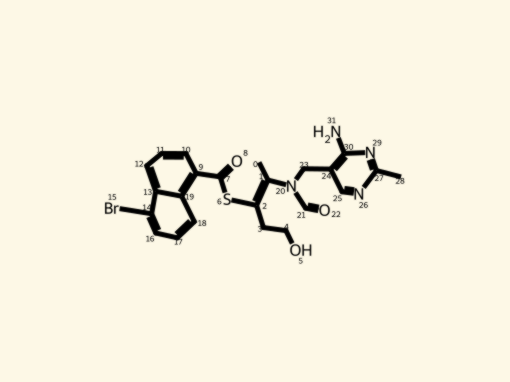 CC(=C(CCO)SC(=O)c1cccc2c(Br)cccc12)N(C=O)Cc1cnc(C)nc1N